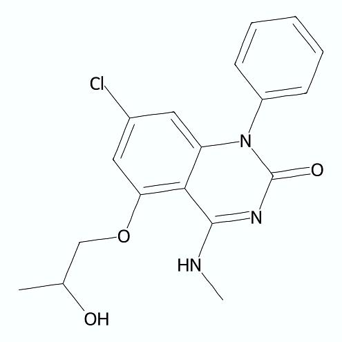 CNc1nc(=O)n(-c2ccccc2)c2cc(Cl)cc(OCC(C)O)c12